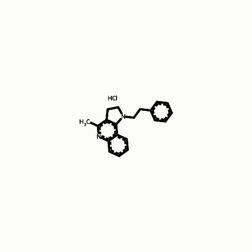 Cc1nc2ccccc2c2c1CCN2CCc1ccccc1.Cl